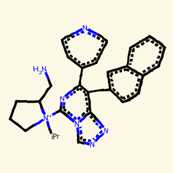 CC(C)[N+]1(c2nc(-c3ccncc3)c(-c3ccc4ccccc4c3)c3nncn23)CCCC1CN